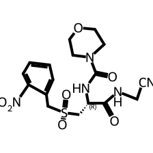 N#CCNC(=O)[C@H](CS(=O)(=O)Cc1ccccc1[N+](=O)[O-])NC(=O)N1CCOCC1